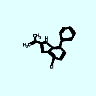 C=C(C)c1cc2c(Cl)ccc(-c3ccccc3)c2[nH]1